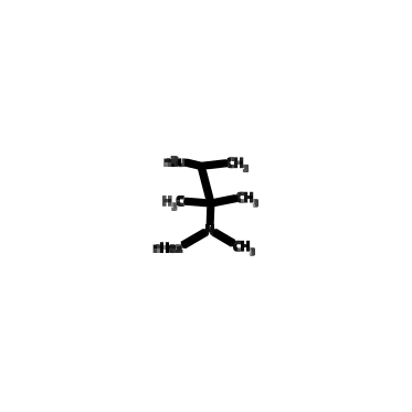 CCCCCCN(C)C(C)(C)C(C)CCCC